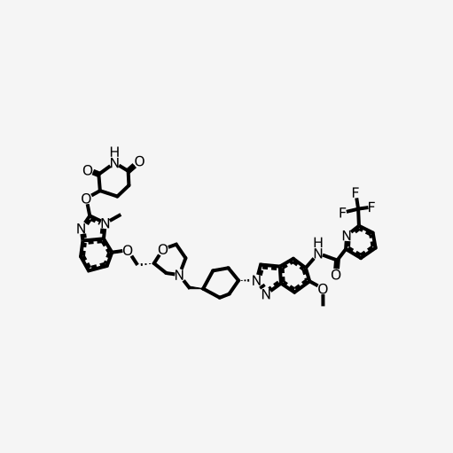 COc1cc2nn([C@H]3CC[C@H](CN4CCO[C@@H](COc5cccc6nc(OC7CCC(=O)NC7=O)n(C)c56)C4)CC3)cc2cc1NC(=O)c1cccc(C(F)(F)F)n1